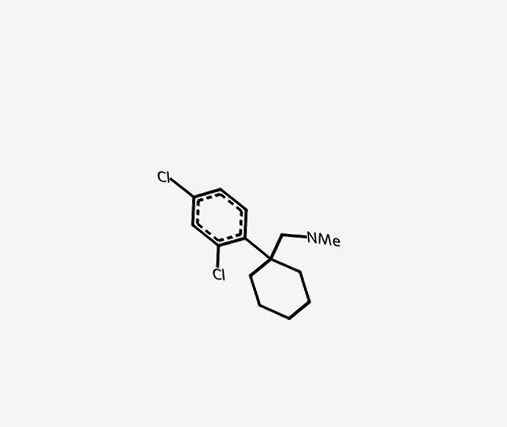 CNCC1(c2ccc(Cl)cc2Cl)CCCCC1